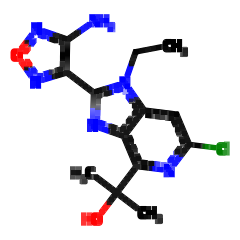 CCn1c(-c2nonc2N)nc2c(C(C)(C)O)nc(Cl)cc21